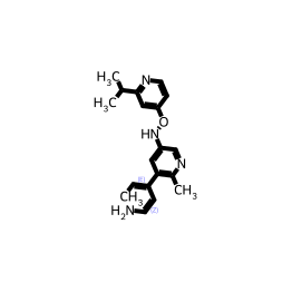 C/C=C(\C=C/N)c1cc(NOc2ccnc(C(C)C)c2)cnc1C